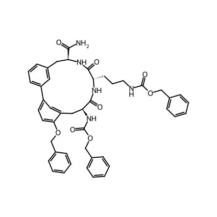 NC(=O)[C@@H]1Cc2cccc(c2)-c2ccc(OCc3ccccc3)c(c2)C[C@H](NC(=O)OCc2ccccc2)C(=O)N[C@@H](CCCNC(=O)OCc2ccccc2)C(=O)N1